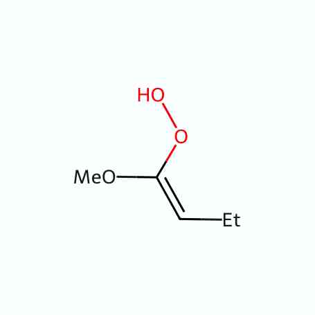 CCC=C(OC)OO